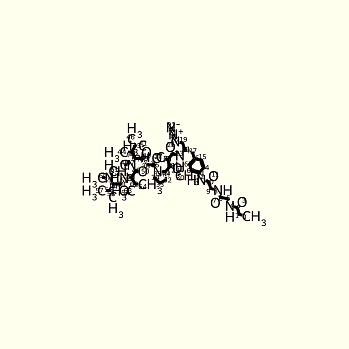 CCC(=O)NCC(=O)NCC(=O)Nc1ccc(C[C@@H](CN=[N+]=[N-])NC(=O)[C@H](C)[C@@H](OC)[C@@H]2CCCN2C(=O)C[C@@H](OC)[C@H]([C@@H](C)CC)N(C)C(=O)[C@@H](NC(=O)[C@H](C(C)C)N(C)C)C(C)C)cc1